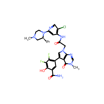 CC(C)[C@H]1CN(C)CCN1c1cc(NC(=O)Cn2cc(-c3cc(C(N)=O)c(O)c(F)c3F)c3c(=O)n(C)cnc32)c(Cl)cn1